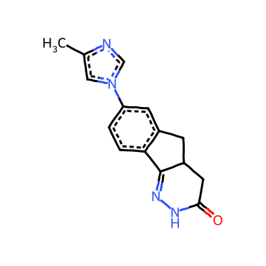 Cc1cn(-c2ccc3c(c2)CC2CC(=O)NN=C32)cn1